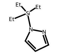 CC[Si](CC)(CC)n1cccn1